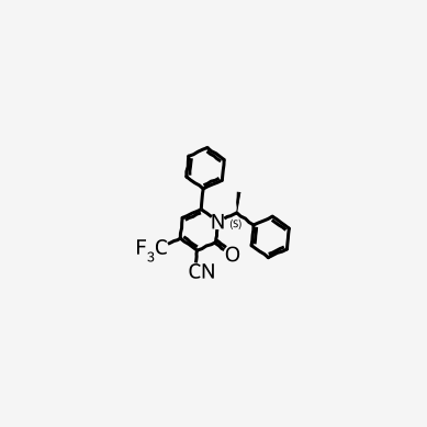 C[C@@H](c1ccccc1)n1c(-c2ccccc2)cc(C(F)(F)F)c(C#N)c1=O